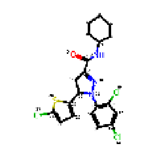 O=C(NC1CCCCC1)C1=NN(c2ccc(Cl)cc2Cl)C(c2ccc(Cl)s2)C1